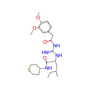 CCC(C)CC(NC(=N)NC(=O)Cc1ccc(OC)c(OC)c1)C(=O)NC1CCSCC1